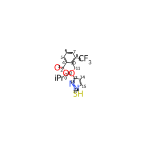 CC(C)OC(=O)c1cccc(C(F)(F)F)c1COc1ccn(S)n1